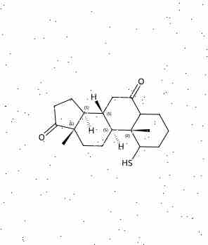 C[C@]12C(S)CCCC1C(=O)C[C@@H]1[C@@H]2CC[C@]2(C)C(=O)CC[C@@H]12